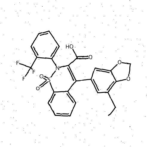 CCc1cc(C2=C(C(=O)O)N(c3ccccc3C(F)(F)F)S(=O)(=O)c3ccccc32)cc2c1OCO2